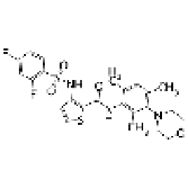 Cc1cc(C)c(N2CCOCC2)c(C)c1NC(=O)c1sccc1NS(=O)(=O)c1ccc(F)cc1F